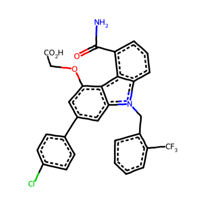 NC(=O)c1cccc2c1c1c(OCC(=O)O)cc(-c3ccc(Cl)cc3)cc1n2Cc1ccccc1C(F)(F)F